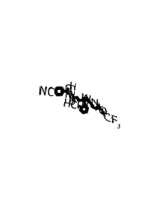 N#Cc1ccc(C(=O)NNC(=O)/C=C/c2nnc(-c3ccc(OCC(F)(F)F)cn3)n2-c2ccccc2Cl)cc1